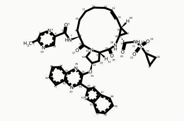 Cc1cnc(C(=O)N[C@H]2CCCCCC=C[C@@H]3C[C@@]3(C(=O)NS(=O)(=O)C3CC3)NC(=O)[C@@H]3C[C@@H](Oc4nc5ccccc5nc4-c4cc5ccccc5s4)CN3C2=O)cn1